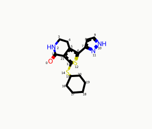 O=C1NCCc2c(-c3cc[nH]n3)sc(SC3CCCCC3)c21